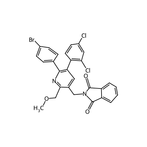 COCc1nc(-c2ccc(Br)cc2)c(-c2ccc(Cl)cc2Cl)cc1CN1C(=O)c2ccccc2C1=O